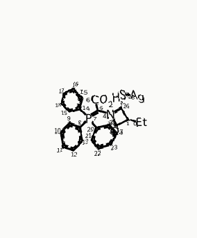 CC[C@H]1C(=O)N(C(C(=O)O)=P(c2ccccc2)(c2ccccc2)c2ccccc2)[C@@H]1[S][Ag]